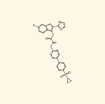 O=C(Cn1c(-c2ncco2)cc2cc(F)ccc21)NCc1ccc(-c2ccc(S(=O)(=O)C3CC3)cc2)cn1